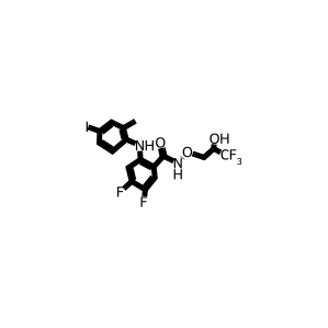 Cc1cc(I)ccc1Nc1cc(F)c(F)cc1C(=O)NOCC(O)C(F)(F)F